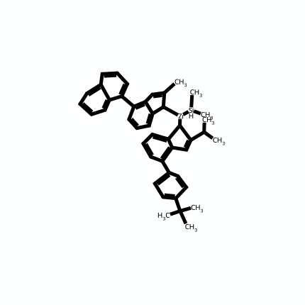 CC1=Cc2c(-c3cccc4ccccc34)cccc2[CH]1[Zr]([CH]1C(C(C)C)=Cc2c(-c3ccc(C(C)(C)C)cc3)cccc21)[SiH](C)C